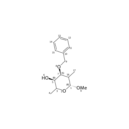 CO[C@@H]1OC(C)[C@@H](O)[C@@H](OCc2ccccc2)C1C